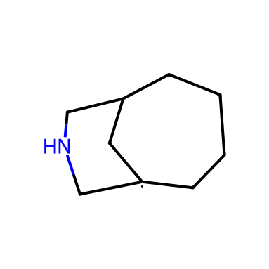 C1CCC2CNC[C](C1)C2